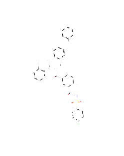 O=C(O)c1cc(C(=O)O)c(C(=O)N(Cc2cccc(Oc3ccccc3)c2)[C@H]2CCCc3ccccc32)cc1C(=O)NS(=O)(=O)c1ccc(Cl)cc1